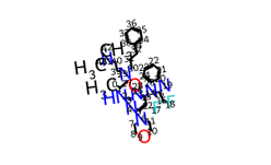 C[C@H](Nc1nc(N2CCOCC2)cc(-n2c(C(F)F)nc3ccccc32)n1)C(=O)N(CCCc1ccccc1)CCN(C)C